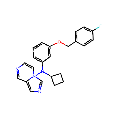 Fc1ccc(COc2cccc(N(C3CCC3)[N+]34C=CN=CC3=CN=C4)c2)cc1